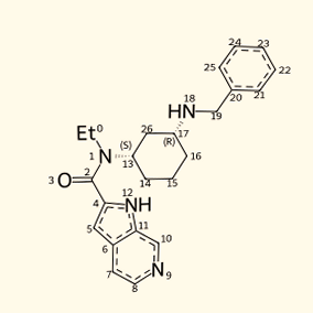 CCN(C(=O)c1cc2ccncc2[nH]1)[C@H]1CCC[C@@H](NCc2ccccc2)C1